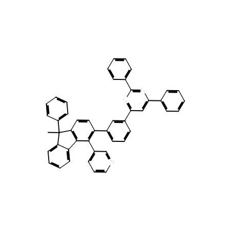 CC1(c2ccccc2)c2ccccc2-c2c1ccc(-c1cccc(-c3cc(-c4ccccc4)nc(-c4ccccc4)n3)c1)c2-c1cccnc1